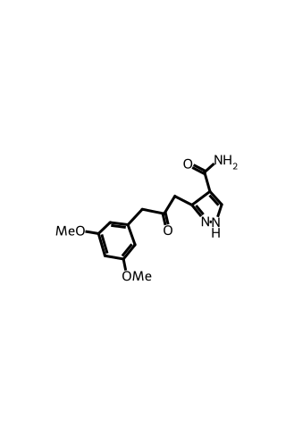 COc1cc(CC(=O)Cc2n[nH]cc2C(N)=O)cc(OC)c1